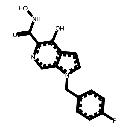 O=C(NO)c1ncc2c(ccn2Cc2ccc(F)cc2)c1O